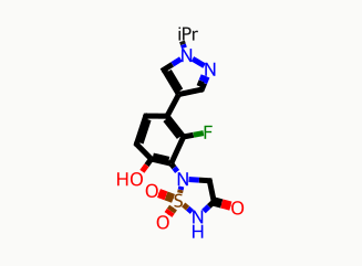 CC(C)n1cc(-c2ccc(O)c(N3CC(=O)NS3(=O)=O)c2F)cn1